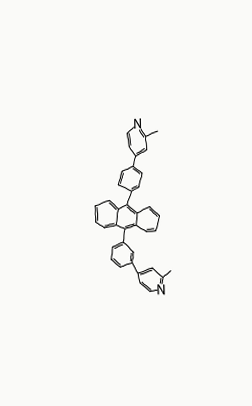 Cc1cc(-c2ccc(-c3c4ccccc4c(-c4cccc(-c5ccnc(C)c5)c4)c4ccccc34)cc2)ccn1